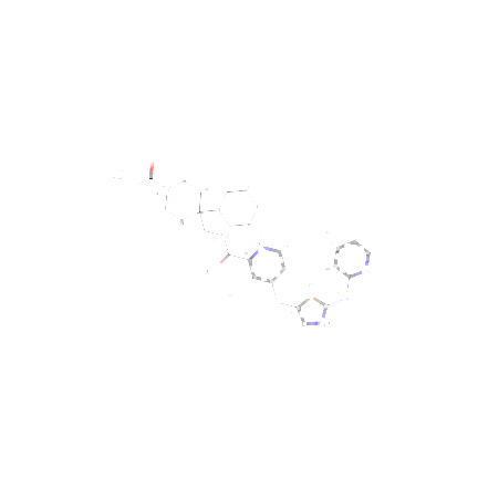 Cc1ccnc(Nc2ncc(Sc3ccnc(C(=O)NCC4(C5CCCCC5)CCN(C(=O)OC(C)(C)C)CC4)c3F)s2)c1